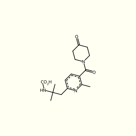 Cc1nc(CC(C)(C)NC(=O)O)ccc1C(=O)N1CCC(=O)CC1